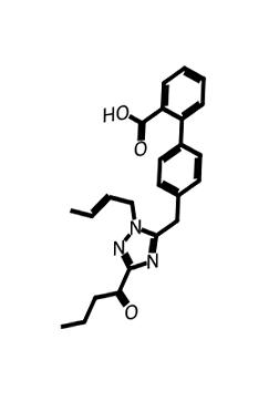 C/C=C/Cn1nc(C(=O)CCC)nc1Cc1ccc(-c2ccccc2C(=O)O)cc1